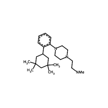 CNCCN1CCN(c2ccccc2C2CC(C)(C)CC(C)(C)C2)CC1